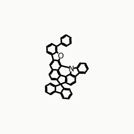 c1ccc(-c2cccc3c2oc2c3cc3ccc4c5c6c(ccc7c8ccccc8n(c76)c2c35)C42c3ccccc3-c3ccccc32)cc1